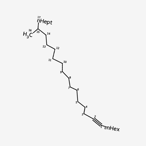 [CH2]CCCCCC#CCCCCCCCCCCCCC(C)CCCCCC[CH2]